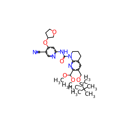 COC(OC)c1nc2c(cc1CO[Si](C)(C)C(C)(C)C)CCCN2C(=O)Nc1cc(OC2CCOC2)c(C#N)cn1